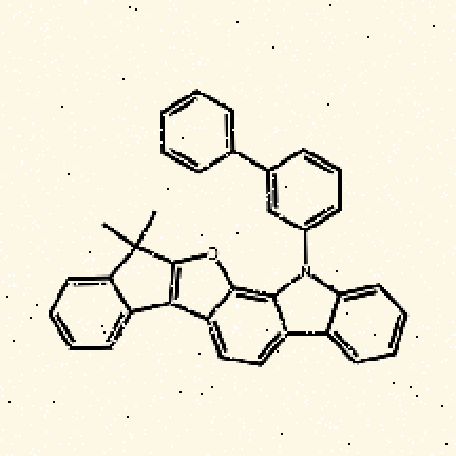 CC1(C)c2ccccc2-c2c1oc1c2ccc2c3ccccc3n(-c3cccc(-c4ccccc4)c3)c21